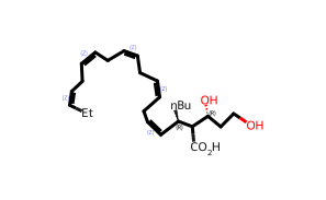 CC/C=C\C/C=C\C/C=C\C/C=C\C/C=C\[C@@H](CCCC)C(C(=O)O)[C@H](O)CCO